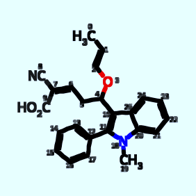 CC=COC(CC=C(C#N)C(=O)O)c1c(-c2ccccc2)n(C)c2ccccc12